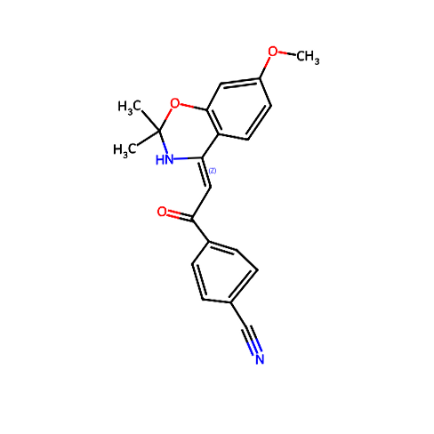 COc1ccc2c(c1)OC(C)(C)N/C2=C\C(=O)c1ccc(C#N)cc1